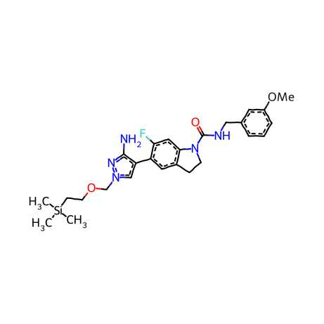 COc1cccc(CNC(=O)N2CCc3cc(-c4cn(COCC[Si](C)(C)C)nc4N)c(F)cc32)c1